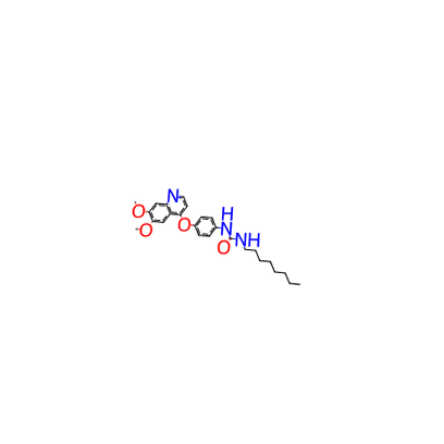 CCCCCCCCNC(=O)Nc1ccc(Oc2ccnc3cc(OC)c(OC)cc23)cc1